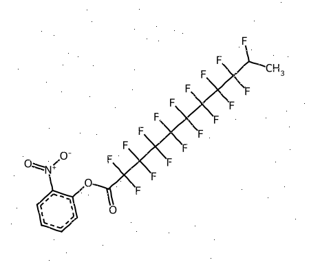 CC(F)C(F)(F)C(F)(F)C(F)(F)C(F)(F)C(F)(F)C(F)(F)C(F)(F)C(F)(F)C(=O)Oc1ccccc1[N+](=O)[O-]